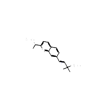 CC(=O)O[C@H](C)c1ccc2ccc(/C=C/C(C)(C)C=O)cc2n1